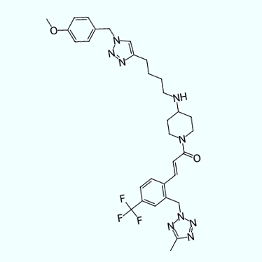 COc1ccc(Cn2cc(CCCCNC3CCN(C(=O)C=Cc4ccc(C(F)(F)F)cc4Cn4nnc(C)n4)CC3)nn2)cc1